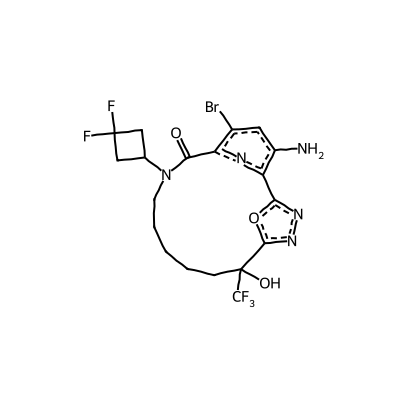 Nc1cc(Br)c2nc1-c1nnc(o1)C(O)(C(F)(F)F)CCCCCN(C1CC(F)(F)C1)C2=O